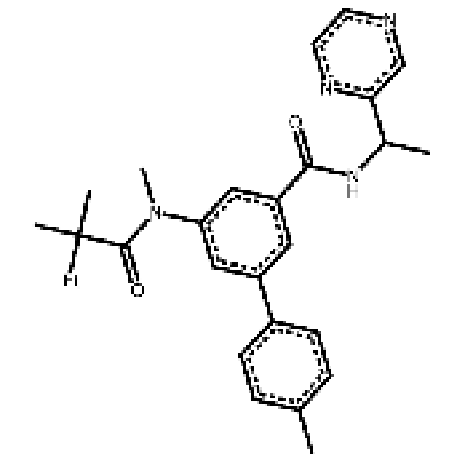 CCC(C)(C)C(=O)N(C)c1cc(C(=O)NC(C)c2cnccn2)cc(-c2ccc(C)cc2)c1